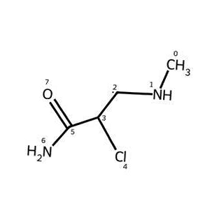 CN[CH]C(Cl)C(N)=O